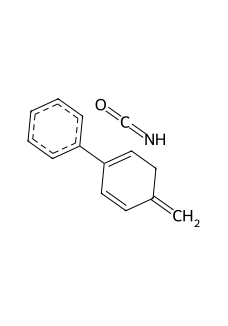 C=C1C=CC(c2ccccc2)=CC1.N=C=O